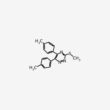 CSc1nnc(-c2ccc(C)cc2)c(-c2ccc(C)cc2)n1